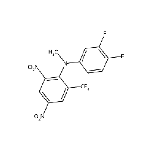 CN(c1ccc(F)c(F)c1)c1c([N+](=O)[O-])cc([N+](=O)[O-])cc1C(F)(F)F